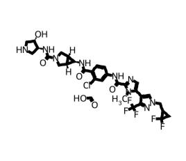 Cn1c(-c2cn(CC3CC3(F)F)nc2C(F)(F)F)cnc1C(=O)Nc1ccc(C(=O)N[C@H]2[C@@H]3CN(C(=O)N[C@H]4CNC[C@@H]4O)C[C@@H]32)c(Cl)c1.O=CO